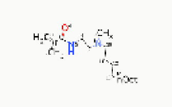 C=C(C)C(=O)NCCN(C)CCCCCCCCCCCC